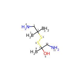 BC(B)(CN)SSC(B)(O)CN